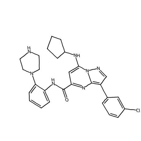 O=C(Nc1ccccc1N1CCNCC1)c1cc(NC2CCCC2)n2ncc(-c3cccc(Cl)c3)c2n1